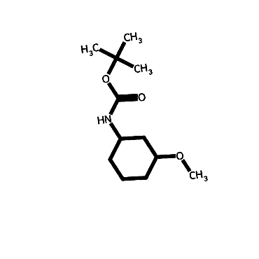 COC1CCCC(NC(=O)OC(C)(C)C)C1